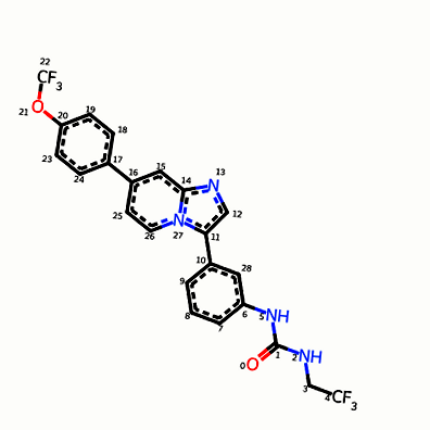 O=C(NCC(F)(F)F)Nc1cccc(-c2cnc3cc(-c4ccc(OC(F)(F)F)cc4)ccn23)c1